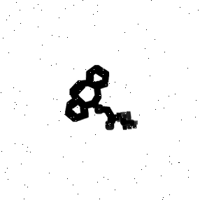 CCCNC(=O)COC1Cc2ccccc2C#Cc2ccccc21